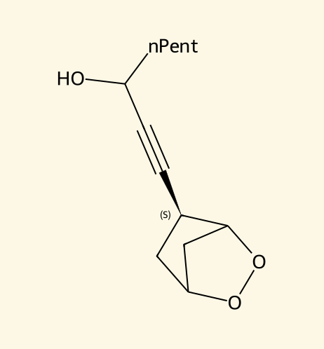 CCCCCC(O)C#C[C@@H]1CC2CC1OO2